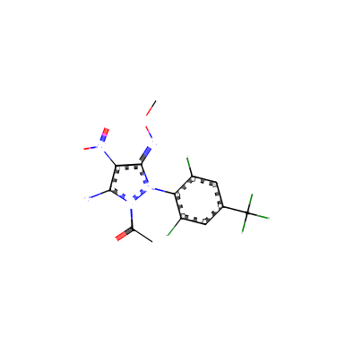 CON=c1c([N+](=O)[O-])c(N)n(C(C)=O)n1-c1c(Cl)cc(C(F)(F)F)cc1Cl